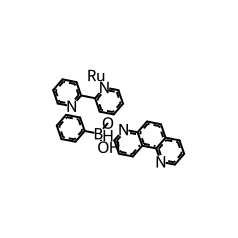 OB(O)c1ccccc1.[Ru].c1ccc(-c2ccccn2)nc1.c1cnc2c(c1)ccc1ncccc12